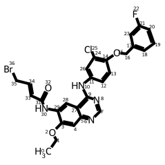 CCOc1cc2ncnc(Nc3ccc(OCc4cccc(F)c4)c(Cl)c3)c2cc1NC(=O)C=CCBr